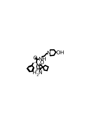 NC(=O)C1(C(=O)N[C@H](Cc2ccccc2)C(=O)NCCCN2CCC(O)CC2)CCCC1